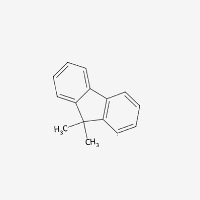 CC1(C)c2[c]cccc2-c2ccccc21